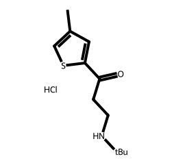 Cc1csc(C(=O)CCNC(C)(C)C)c1.Cl